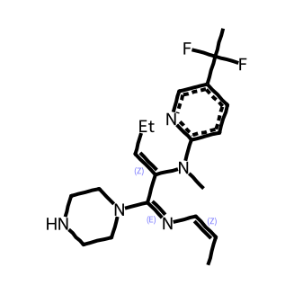 C\C=C/N=C(\C(=C\CC)N(C)c1ccc(C(C)(F)F)cn1)N1CCNCC1